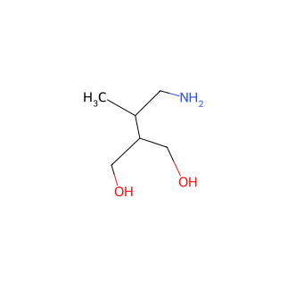 CC(CN)C(CO)CO